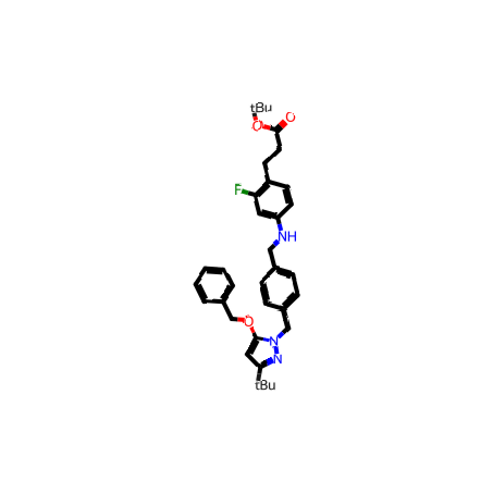 CC(C)(C)OC(=O)CCc1ccc(NCc2ccc(Cn3nc(C(C)(C)C)cc3OCc3ccccc3)cc2)cc1F